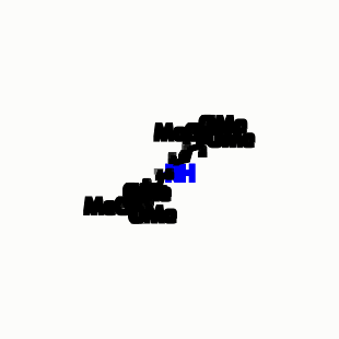 CO[Si](CCCCNCCCC[Si](OC)(OC)OC)(OC)OC